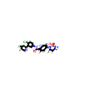 O=C(Nc1ccc(Cl)c(-c2cc(F)ccn2)c1)c1ccc(N2CCCNS2(=O)=O)cc1